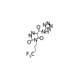 Cn1nnnc1NC(=O)c1nn(C)c(=O)n(CCCC(F)(F)F)c1=O